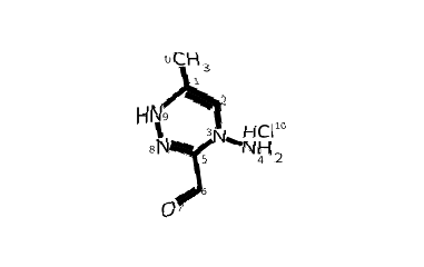 CC1=CN(N)C(C=O)=NN1.Cl